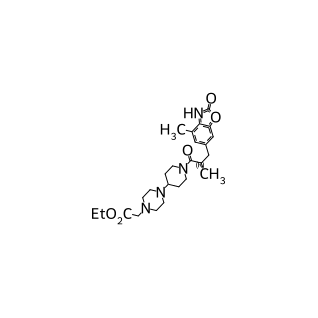 CCOC(=O)CN1CCN(C2CCN(C(=O)[C@H](C)Cc3cc(C)c4[nH]c(=O)oc4c3)CC2)CC1